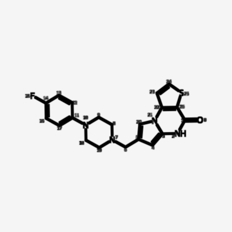 O=c1[nH]c2cc(CN3CCN(c4ccc(F)cc4)CC3)cn2c2ccsc12